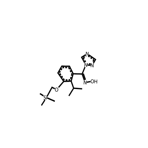 CC(C)c1c(OC[Si](C)(C)C)cccc1C(=NO)n1cncn1